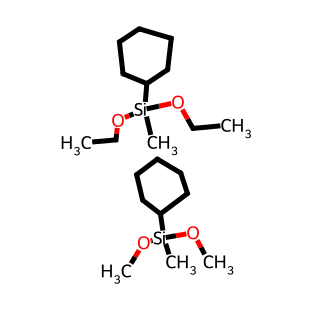 CCO[Si](C)(OCC)C1CCCCC1.CO[Si](C)(OC)C1CCCCC1